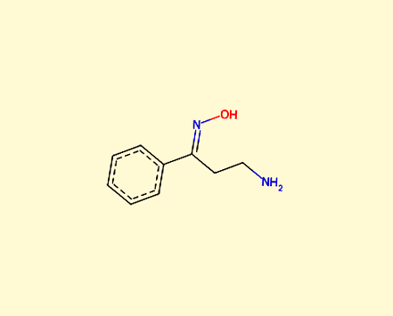 NCCC(=NO)c1ccccc1